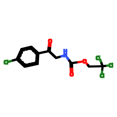 O=C(NCC(=O)c1ccc(Cl)cc1)OCC(Cl)(Cl)Cl